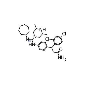 CC1CN(/C(=N\C2CCCCCC2)Nc2ccc(C(CC(N)=O)c3ccc(Cl)cc3Cl)cc2)CC(C)N1